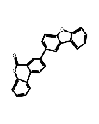 O=c1oc2ccccc2c2ccc(-c3ccc4oc5ccccc5c4c3)cc12